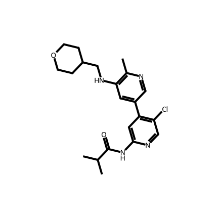 Cc1ncc(-c2cc(NC(=O)C(C)C)ncc2Cl)cc1NCC1CCOCC1